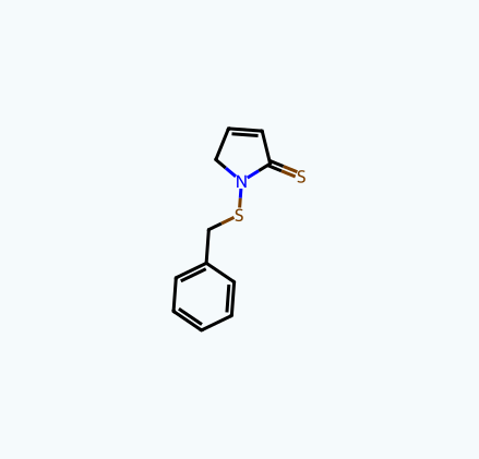 S=C1C=CCN1SCc1ccccc1